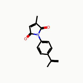 C=C(C)c1ccc(N2C(=O)C=C(C)C2=O)cc1